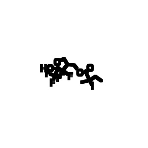 CCC(C)(I)C(=O)OCC1COC(O)(C(F)(F)F)C1(F)F